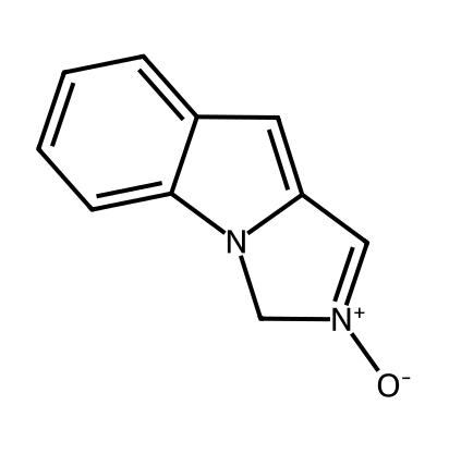 [O-][N+]1=Cc2cc3ccccc3n2C1